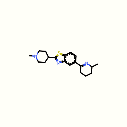 CC1CCCC(c2ccc3sc(C4CCN(C)CC4)nc3c2)=N1